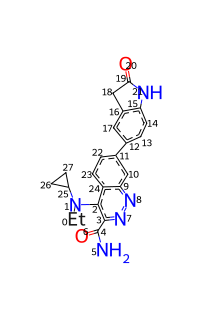 CCN(c1c(C(N)=O)nnc2cc(-c3ccc4c(c3)CC(=O)N4)ccc12)C1CC1